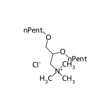 CCCCCOCC(C[N+](C)(C)C)OCCCCC.[Cl-]